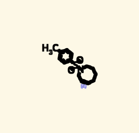 Cc1ccc(S(=O)(=O)N2C/C=C\CCCC2)cc1